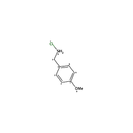 COc1ccc(C[SiH2]Cl)cc1